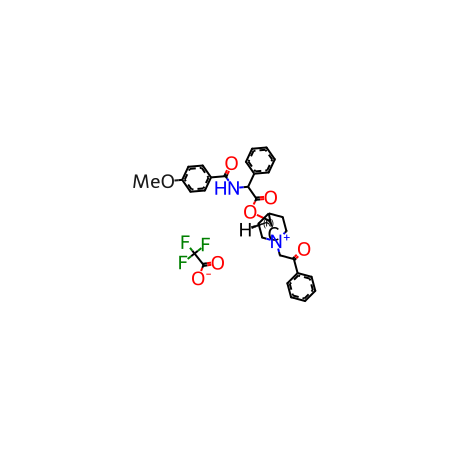 COc1ccc(C(=O)NC(C(=O)O[C@H]2C[N+]3(CC(=O)c4ccccc4)CCC2CC3)c2ccccc2)cc1.O=C([O-])C(F)(F)F